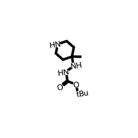 CC1(NNC(=O)OC(C)(C)C)CCNCC1